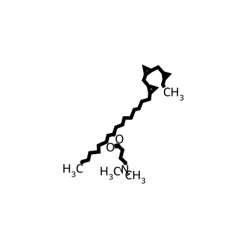 CCCCCCCCC(CCCCCCCCC1CC1CC1CC1CC1CC1CC)OC(=O)CCCN(C)C